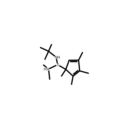 CC1=C[C](C)([Ti]([NH]C(C)(C)C)[SiH](C)C)C(C)=C1C